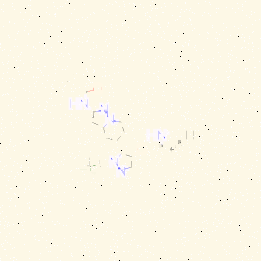 Cl.Cn1ncc(OC[C@@H]2NC[C@H]3C[C@H]32)c1-c1ccn2nc(NC(=O)C3CC3)cc2c1